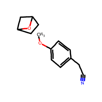 C1CC2CC1O2.COc1ccc(CC#N)cc1